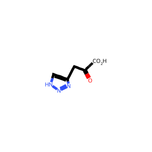 O=C(O)C(=O)Cc1c[nH]nn1